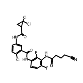 N#CCCCC(=O)Nc1c(F)ccc(NC(=O)c2cc(NC(=O)C3CC3(Cl)Cl)ccc2Cl)c1F